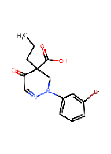 CCCC1(C(=O)O)CN(c2cccc(Br)c2)N=CC1=O